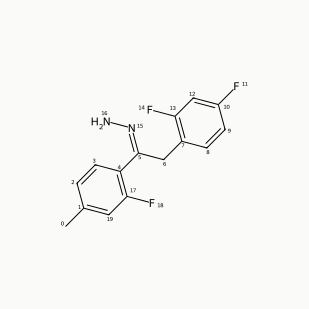 Cc1ccc(C(Cc2ccc(F)cc2F)=NN)c(F)c1